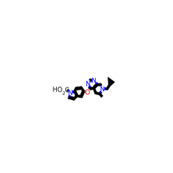 CC1Cc2c(ncnc2Oc2ccc3c(ccn3C(=O)O)c2)CN1CC1CC1